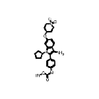 CC(C)OC(=O)Nc1ccc(-c2c(N)c3ccc(OC4CCS(=O)(=O)CC4)cc3n2C2CCCC2)cc1